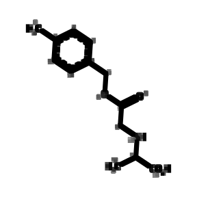 Cc1ccc(COC(=O)CNC(C)C(=O)O)cc1